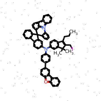 CCCC1=C(CI)C(C)(C)c2cc(N(c3ccc(-c4ccc5oc6ccccc6c5c4)cc3)c3ccc4c(c3)C3(c5ccccc5-4)c4ccccc4-n4c5ccccc5c5cccc3c54)ccc21